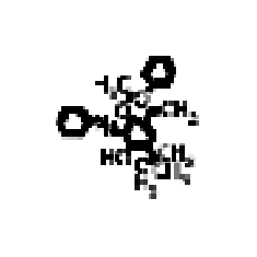 C=Cc1cc(C(C)(C)C)c(O)c(N=Nc2ccccc2)c1OC(C)Oc1ccccc1